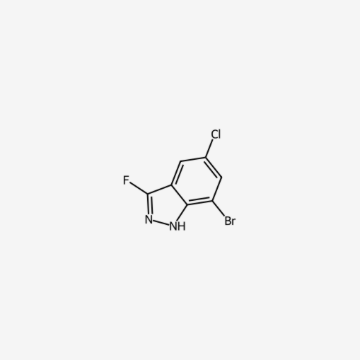 Fc1n[nH]c2c(Br)cc(Cl)cc12